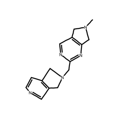 CN1Cc2cnc(CN3Cc4ccncc4C3)nc2C1